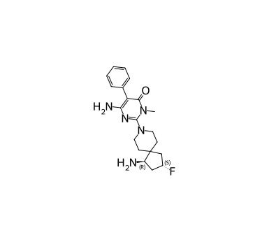 Cn1c(N2CCC3(CC2)C[C@H](F)C[C@H]3N)nc(N)c(-c2ccccc2)c1=O